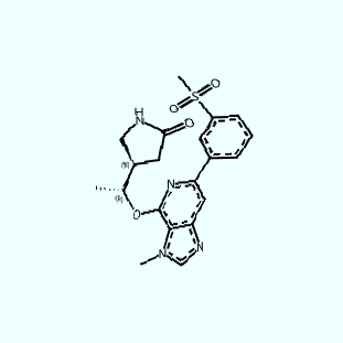 C[C@@H](Oc1nc(-c2cccc(S(C)(=O)=O)c2)cc2ncn(C)c12)[C@H]1CNC(=O)C1